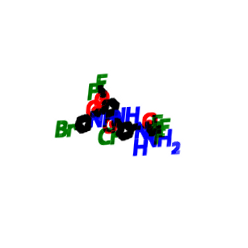 NC(C(=O)NCc1ccc(Cl)c(C(=O)Nc2ccc(OCC(F)F)c(C(=O)Nc3ccc(Br)cc3)c2)c1)C(F)(F)F